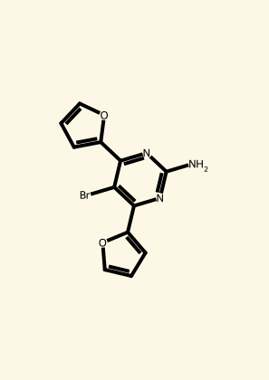 Nc1nc(-c2ccco2)c(Br)c(-c2ccco2)n1